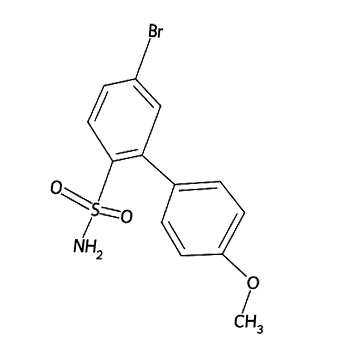 COc1ccc(-c2cc(Br)ccc2S(N)(=O)=O)cc1